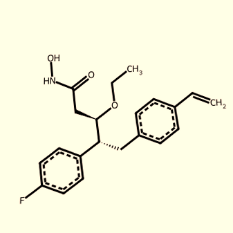 C=Cc1ccc(C[C@H](c2ccc(F)cc2)[C@@H](CC(=O)NO)OCC)cc1